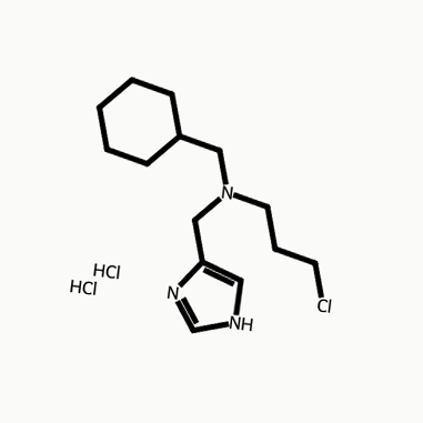 Cl.Cl.ClCCCN(Cc1c[nH]cn1)CC1CCCCC1